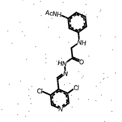 CC(=O)Nc1cccc(NCC(=O)N/N=C/c2c(Cl)cncc2Cl)c1